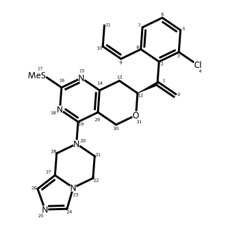 C=C(c1c(Cl)cccc1/C=C\C)[C@@H]1Cc2nc(SC)nc(N3CCn4cncc4C3)c2CO1